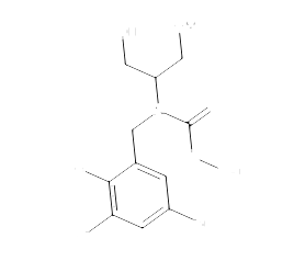 COCC(CO)N(Cc1cc(Br)cc(Cl)c1O)C(=O)OC(C)(C)C